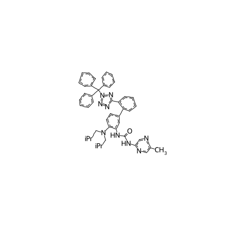 Cc1cnc(NC(=O)Nc2cc(-c3ccccc3-c3nnn(C(c4ccccc4)(c4ccccc4)c4ccccc4)n3)ccc2N(CC(C)C)CC(C)C)cn1